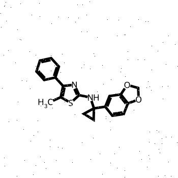 Cc1sc(NC2(c3ccc4c(c3)OCO4)CC2)nc1-c1ccccc1